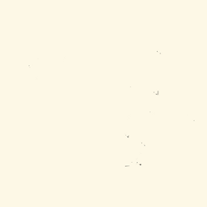 COc1ccc(COC2CC(NC(=O)O)C(NC(=O)c3ccccc3-n3nccn3)C2)cc1